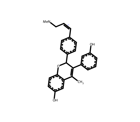 CNC/C=C\c1ccc(C2Oc3ccc(O)cc3C(C)=C2c2cccc(O)c2)cc1